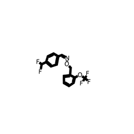 FC(F)c1ccc(/[C]=N\OCc2ccccc2OC(F)(F)F)cc1